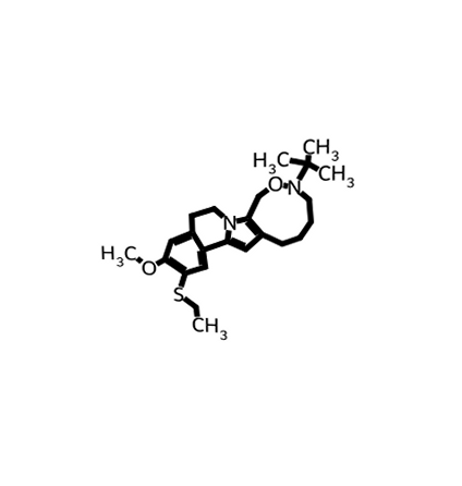 CCSc1cc2c(cc1OC)CCn1c-2cc2c1CON(C(C)(C)C)CCCC2